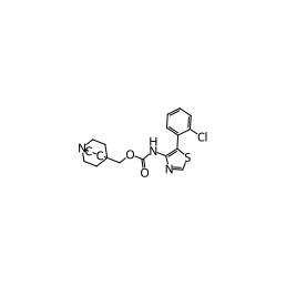 O=C(Nc1ncsc1-c1ccccc1Cl)OCC12CCN(CC1)CC2